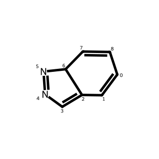 C1=CC2=CN=NC2C=C1